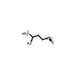 CC(CC[PH2]=O)C(=O)O